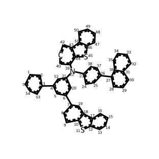 c1ccc(-c2cc(-c3ccc4sc5ccccc5c4c3)cc(N(c3ccc(-c4cccc5ccccc45)cc3)c3cccc4c3sc3ccccc34)c2)cc1